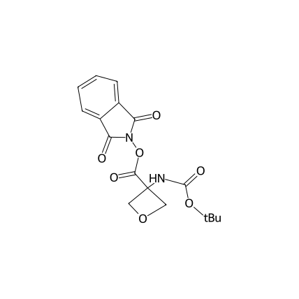 CC(C)(C)OC(=O)NC1(C(=O)ON2C(=O)c3ccccc3C2=O)COC1